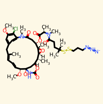 COc1cc2cc(c1Cl)N(C)C(=O)C[C@H](OC(=O)[C@H](C)N(C)C(=O)CCC(C)(C)SSCCCN=[N+]=[N-])[C@]1(C)O[C@H]1[C@H](C)[C@@H]1C[C@@](O)(NC(=O)O1)[C@H](OC)/C=C/C=C(\C)C2